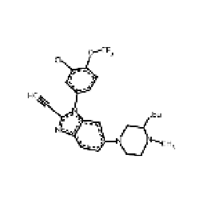 C#Cc1nc2ccc(N3CCN(C)C(C(C)(C)C)C3)cc2n1-c1ccc(OC(F)(F)F)c(Cl)c1